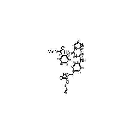 C=CCOC(=O)NCc1ccc(Nc2nc(Nc3ccccc3C(=O)NC)n3ccnc3n2)cc1